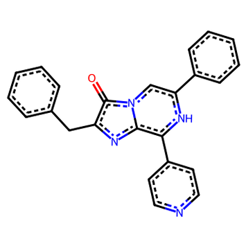 O=c1c(Cc2ccccc2)nc2c(-c3ccncc3)[nH]c(-c3ccccc3)cn1-2